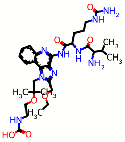 CCOCc1nc2c(NC(=O)C(CCCNC(N)=O)NC(=O)C(N)C(C)C)nc3ccccc3c2n1CC(C)(C)OCCNC(=O)O